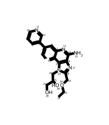 C=c1/c(=C\C(=C/C)c2cccnc2)nc(N)c2nc(COCC)n(CC(O)CO)c12